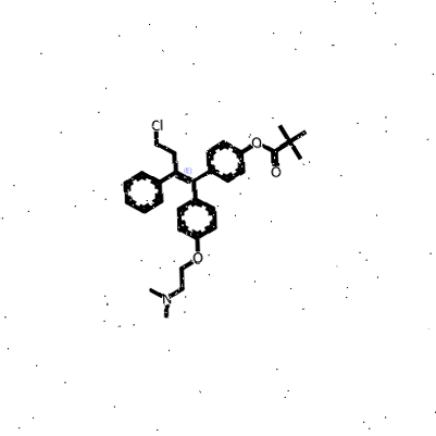 CN(C)CCOc1ccc(/C(=C(/CCCl)c2ccccc2)c2ccc(OC(=O)C(C)(C)C)cc2)cc1